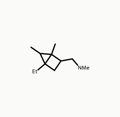 CCC12CC(CNC)C1(C)C2C